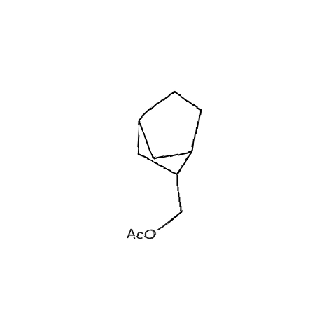 CC(=O)OCC1CC2CCC1C2